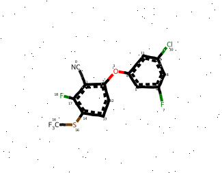 N#Cc1c(Oc2cc(F)cc(Cl)c2)ccc(SC(F)(F)F)c1F